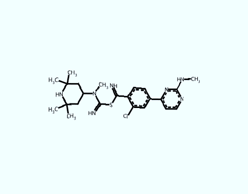 CNc1nccc(-c2ccc(C(=N)SC(=N)N(C)C3CC(C)(C)NC(C)(C)C3)c(Cl)c2)n1